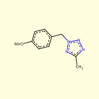 COc1ccc(Cn2nnc(C)n2)cc1